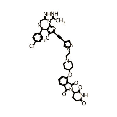 CC(=N)N1C(=N)CN=C(c2ccc(Cl)cc2)c2c1sc(C#Cc1cnn(CCN3CCC(Oc4cccc5c4C(=O)N(C4CCC(=O)NC4=O)C5=O)CC3)c1)c2C